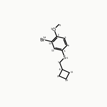 COc1ccc(SCC2CCC2)cc1Br